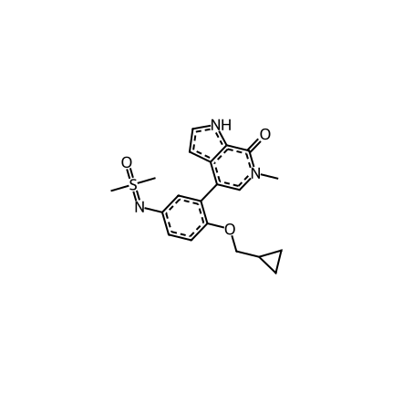 Cn1cc(-c2cc(N=S(C)(C)=O)ccc2OCC2CC2)c2cc[nH]c2c1=O